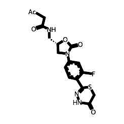 CC(=O)CC(=O)NC[C@H]1CN(c2ccc(C3=NNC(=O)CS3)c(F)c2)C(=O)O1